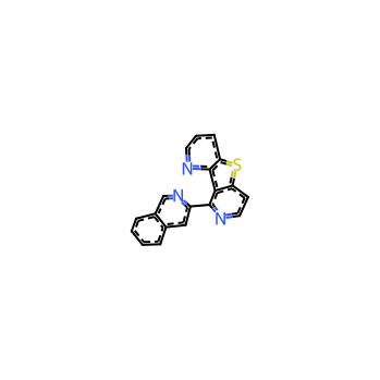 c1ccc2cc(-c3nccc4sc5cccnc5c34)ncc2c1